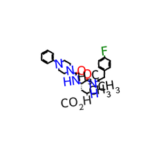 C[C@@H](C[C@H](NC(=O)N1CCN(c2ccccc2)CC1)C(=O)NC(C)(C)Cc1ccc(F)cc1)C(=O)O